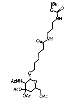 CC(=O)NC1C(OCCCCCC(=O)NCCCNC(=O)OC(C)(C)C)OC(COC(C)=O)CC1(OC(C)=O)OC(C)=O